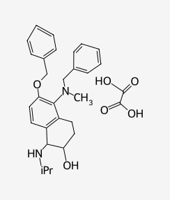 CC(C)NC1c2ccc(OCc3ccccc3)c(N(C)Cc3ccccc3)c2CCC1O.O=C(O)C(=O)O